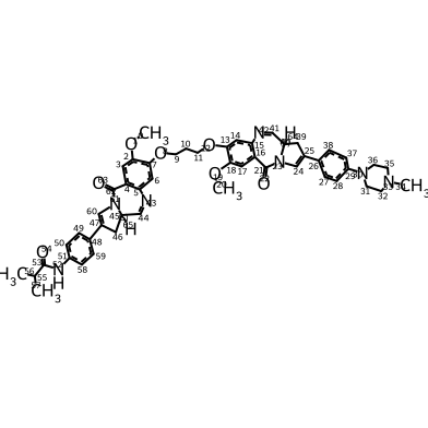 COc1cc2c(cc1OCCCOc1cc3c(cc1OC)C(=O)N1C=C(c4ccc(N5CCN(C)CC5)cc4)C[C@H]1C=N3)N=C[C@@H]1CC(c3ccc(NC(=O)C(C)C)cc3)=CN1C2=O